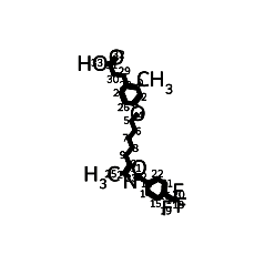 Cc1cc(OCCCCCc2oc(-c3ccc(C(F)(F)F)cc3)nc2C)ccc1CCC(=O)O